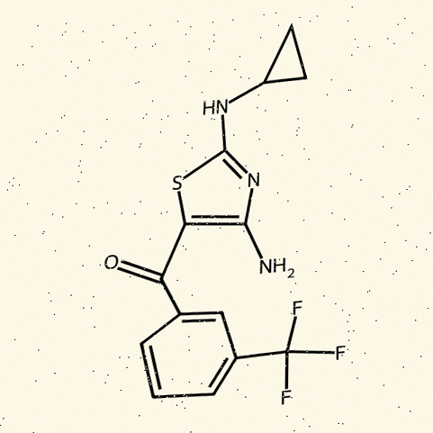 Nc1nc(NC2CC2)sc1C(=O)c1cccc(C(F)(F)F)c1